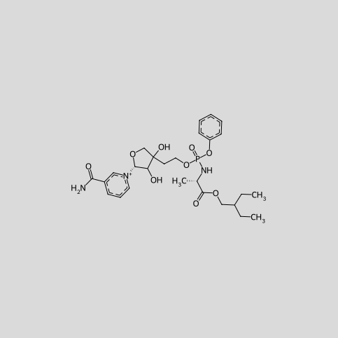 CCC(CC)COC(=O)[C@H](C)NP(=O)(OCCC1(O)CO[C@@H]([n+]2cccc(C(N)=O)c2)C1O)Oc1ccccc1